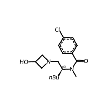 CCCC[C@@H](CN1CC(O)C1)N(C)C(=O)c1ccc(Cl)cc1